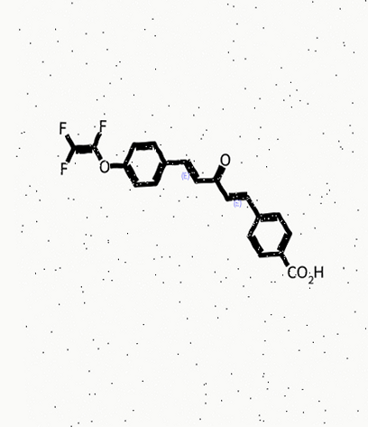 O=C(/C=C/c1ccc(OC(F)=C(F)F)cc1)/C=C/c1ccc(C(=O)O)cc1